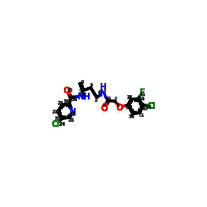 C=C(CCNC(=O)COc1ccc(Cl)c(F)c1)NC(=O)c1ccc(Cl)cn1